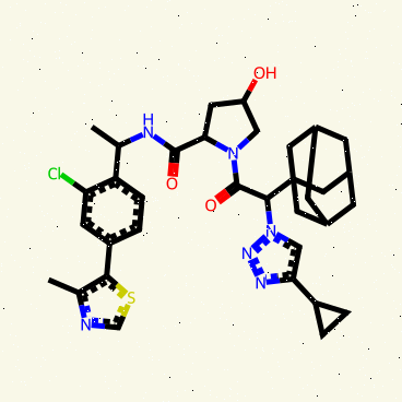 Cc1ncsc1-c1ccc(C(C)NC(=O)C2CC(O)CN2C(=O)C(n2cc(C3CC3)nn2)C23CC4CC(CC(C4)C2)C3)c(Cl)c1